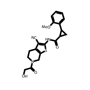 COc1ccccc1C1CC1C(=O)Nc1sc2c(c1C#N)CCN(C(=O)CO)C2